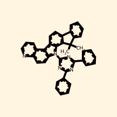 CC1(C)c2ccccc2-c2ccc3c4c5cccnc5ccc4n(-c4nc(-c5ccccc5)nc(-c5ccccc5)n4)c3c21